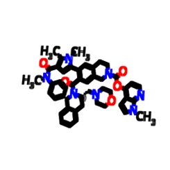 Cc1c(C(=O)N(C)c2ccccc2)cc(-c2cc3c(cc2C(=O)N2Cc4ccccc4C[C@H]2CN2CCOCC2)CN(C(=O)Oc2ccnc4c2ccn4C)CC3)n1C